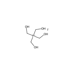 OC[P+](CO)(CO)CO.[I-]